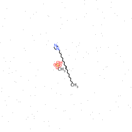 CCCCCCCCC=CCCCCCCCCN1C=NCC1.COS(=O)(=O)O